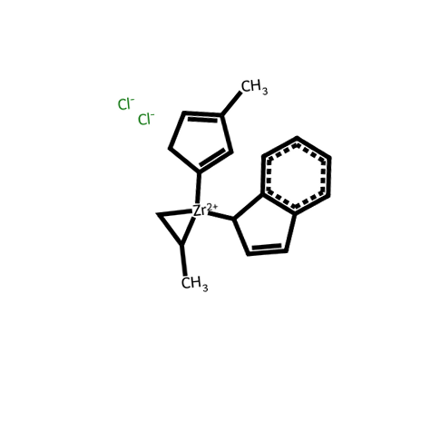 CC1=CC[C]([Zr+2]2([CH]3C=Cc4ccccc43)[CH2][CH]2C)=C1.[Cl-].[Cl-]